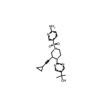 CC(C)(O)c1cnc(N2CCN(S(=O)(=O)c3ccc(N)nc3)CC2C#CC2CC2)nc1